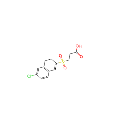 O=C(O)CCS(=O)(=O)C1=Cc2ccc(Cl)cc2CC1